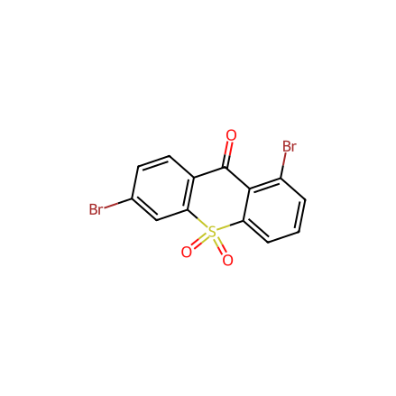 O=C1c2ccc(Br)cc2S(=O)(=O)c2cccc(Br)c21